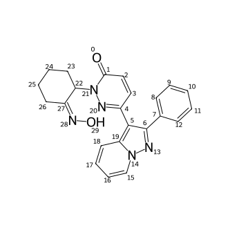 O=c1ccc(-c2c(-c3ccccc3)nn3ccccc23)nn1C1CCCC/C1=N/O